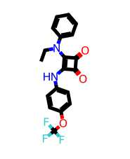 CCN(c1ccccc1)c1c(Nc2ccc(OC(F)(F)F)cc2)c(=O)c1=O